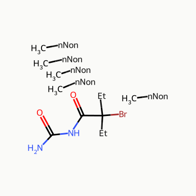 CCC(Br)(CC)C(=O)NC(N)=O.CCCCCCCCCC.CCCCCCCCCC.CCCCCCCCCC.CCCCCCCCCC.CCCCCCCCCC